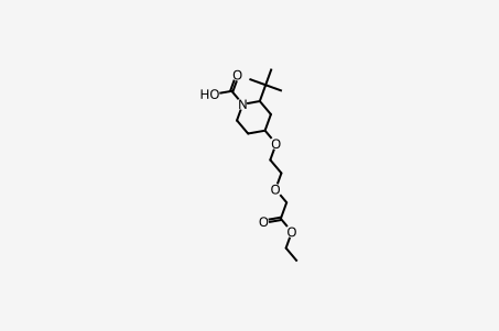 CCOC(=O)COCCOC1CCN(C(=O)O)C(C(C)(C)C)C1